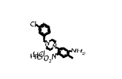 Cc1cc([N+](=O)[O-])c(N2CCN(Cc3cccc(Cl)c3)CC2)cc1N.Cl.Cl